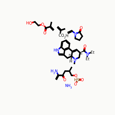 C=C(C)C(=O)O.C=C(C)C(=O)OCCO.C=C(N)C(=O)CC(C)CO[SH](=O)=O.C=CN1CCCC1=O.CCN(CC)C(=O)[C@@H]1C=C2c3cccc4[nH]cc(c34)C[C@H]2N(C)C1.N